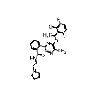 CC(Oc1nc(-c2ccccc2C(=O)NCCN2CCCC2)cnc1N)c1c(F)ccc(F)c1Cl